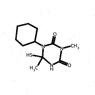 CN1C(=O)NC(C)(S)N(C2CCCCC2)C1=O